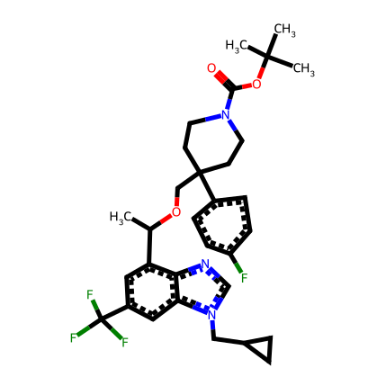 CC(OCC1(c2ccc(F)cc2)CCN(C(=O)OC(C)(C)C)CC1)c1cc(C(F)(F)F)cc2c1ncn2CC1CC1